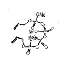 C=CCOP(=O)(OC)OP(=O)(OC)OP(=O)(OC)OP(=O)(OC)OCC=C